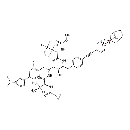 COC(=O)N[C@H](C(=O)N[C@@H](Cc1ccc(C#Cc2ccc(N3CC4CCC(C3)N4C3COC3)nc2)cc1)[C@@H](O)CN(Cc1c(F)cc(-c2ccn(C(F)F)n2)cc1F)NC(=O)[C@@H](NC(=O)C1CC1)C(C)(C)C)C(C)(C)C(F)(F)F